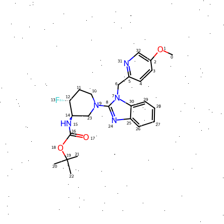 COc1ccc(Cn2c(N3CC[C@@H](F)[C@H](NC(=O)OC(C)(C)C)C3)nc3ccccc32)nc1